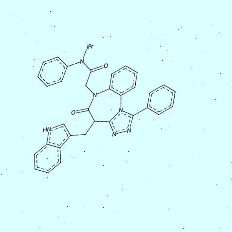 CC(C)N(C(=O)CN1C(=O)C(Cc2c[nH]c3ccccc23)c2nnc(-c3ccccc3)n2-c2ccccc21)c1ccccc1